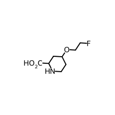 O=C(O)C1CC(OCCF)CCN1